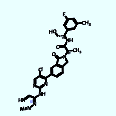 CN/N=C(\C=N)Nc1ncc(Cl)c(-c2ccc3c(c2)C(=O)N([C@H](C)C(=O)N[C@H](CO)c2cc(C)cc(F)c2)C3)n1